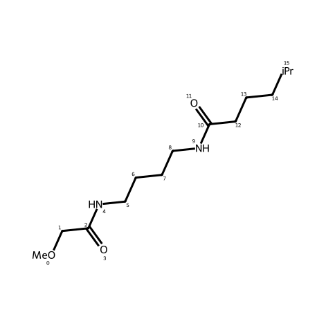 COCC(=O)NCCCCNC(=O)CCCC(C)C